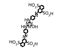 O=S(=O)(O)c1cc(/N=N/c2ccc(Nc3nc(O)nc(Nc4ccc(/N=N/c5cc(S(=O)(=O)O)c6cccc(S(=O)(=O)O)c6c5)cc4)n3)cc2)cc2c(S(=O)(=O)O)cccc12